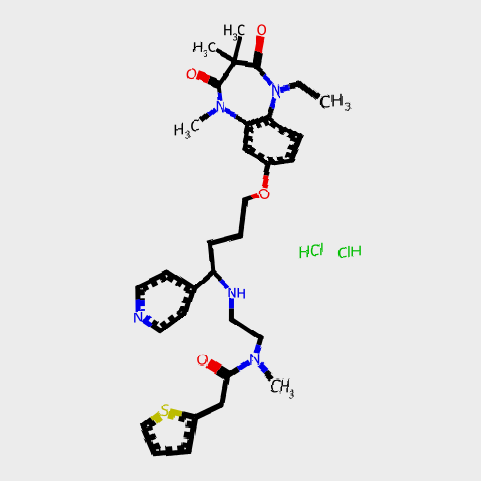 CCN1C(=O)C(C)(C)C(=O)N(C)c2cc(OCCCC(NCCN(C)C(=O)Cc3cccs3)c3ccncc3)ccc21.Cl.Cl